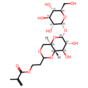 C=C(C)C(=O)OCCC1OC[C@H]2O[C@H](O[C@H]3O[C@H](CO)[C@@H](O)[C@H](O)[C@H]3O)[C@H](O)[C@@H](O)[C@@H]2O1